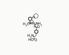 COc1cccc(N2CCCCCC2)c1CN/C(N)=N/C(=O)c1ccc(C[C@H](N)C(=O)O)cc1